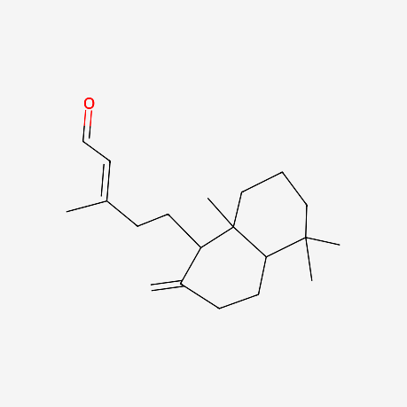 C=C1CCC2C(C)(C)CCCC2(C)C1CCC(C)=CC=O